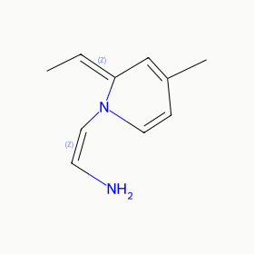 C/C=C1/C=C(C)C=CN1/C=C\N